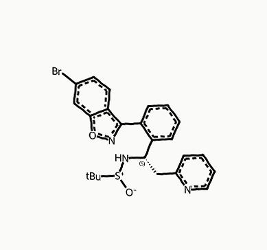 CC(C)(C)[S+]([O-])N[C@@H](Cc1ccccn1)c1ccccc1-c1noc2cc(Br)ccc12